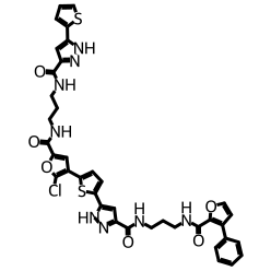 O=C(NCCCNC(=O)c1cc(-c2ccc(-c3cc(C(=O)NCCCNC(=O)c4occc4-c4ccccc4)n[nH]3)s2)c(Cl)o1)c1cc(-c2cccs2)[nH]n1